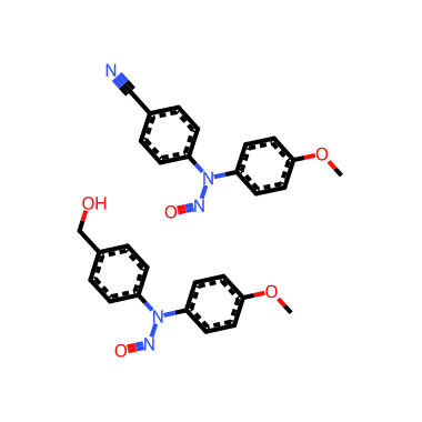 COc1ccc(N(N=O)c2ccc(C#N)cc2)cc1.COc1ccc(N(N=O)c2ccc(CO)cc2)cc1